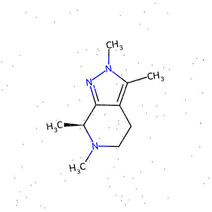 Cc1c2c(nn1C)[C@H](C)N(C)CC2